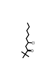 CCCCCC(Cl)CC(=O)C(C)(C)C